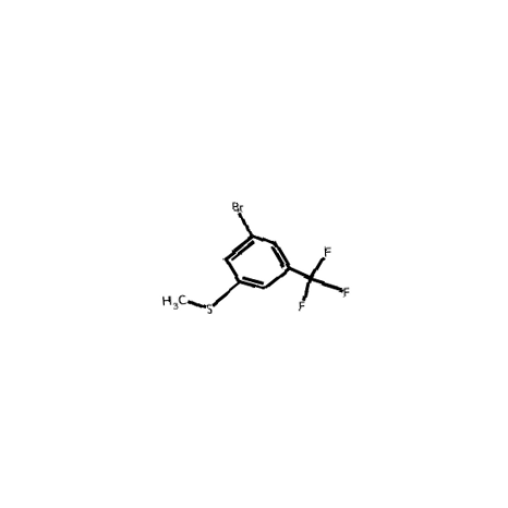 CSc1cc(Br)cc(C(F)(F)F)c1